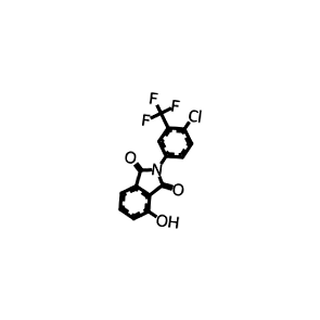 O=C1c2cccc(O)c2C(=O)N1c1ccc(Cl)c(C(F)(F)F)c1